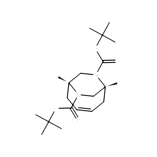 CC(C)(C)OC(=O)N1C[C@H]2CC=CC[C@@H]1CN2C(=O)OC(C)(C)C